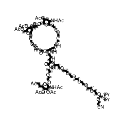 CC(=O)CCC1OC(OCCOCCNC(=O)C(CCC(=O)NC2CCC(=O)NCCOCCOC3OC(COC(C)=O)C(OC(C)=O)C(OC(C)=O)C3N(C(C)=O)C(=O)OCC3OC(OCCOCCCCNC2=O)C(NC(C)=O)CC3OC(C)=O)NC(=O)CCOCCOCCOCCOCCOCCOCCOP(OCCC#N)N(C(C)C)C(C)C)C(NC(C)=O)C(OC(C)=O)C1OC(C)=O